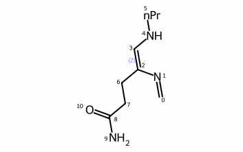 C=N/C(=C\NCCC)CCC(N)=O